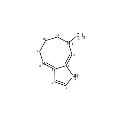 CN1/C=c2/[nH]cc/c2=N/CCC1